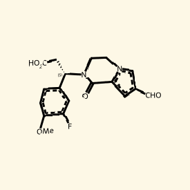 COc1ccc([C@H](CC(=O)O)N2CCn3cc(C=O)cc3C2=O)cc1F